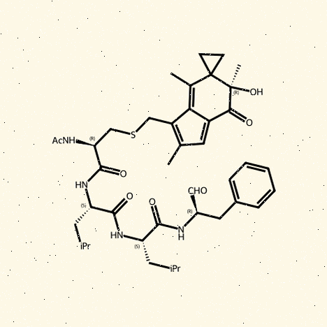 CC(=O)N[C@@H](CSCC1=C(C)C=C2C(=O)[C@](C)(O)C3(CC3)C(C)=C21)C(=O)N[C@@H](CC(C)C)C(=O)N[C@@H](CC(C)C)C(=O)N[C@@H](C=O)Cc1ccccc1